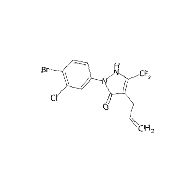 C=CCc1c(C(F)(F)F)[nH]n(-c2ccc(Br)c(Cl)c2)c1=O